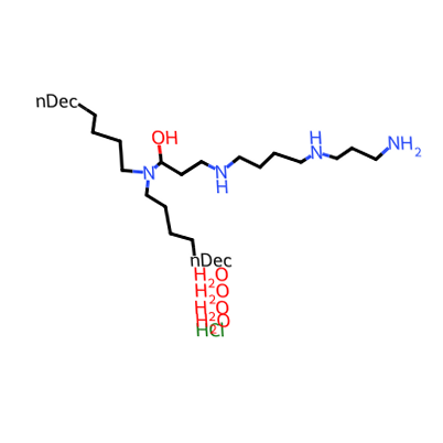 CCCCCCCCCCCCCCN(CCCCCCCCCCCCCC)C(O)CCNCCCCNCCCN.Cl.O.O.O.O